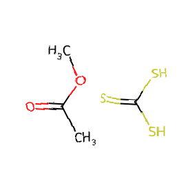 COC(C)=O.S=C(S)S